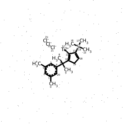 Cc1cc(C)cc(C(C)(C)C2=[C]([Ti+3])C([Si](C)(C)C)=CC2)c1.[Cl-].[Cl-].[Cl-]